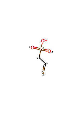 O=S(=O)(O)CC=S